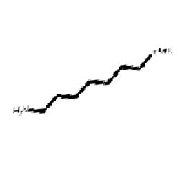 CCCCCCCCCC[CH]CN